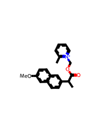 COc1ccc2cc(C(C)C(=O)OC[n+]3ccccc3C)ccc2c1